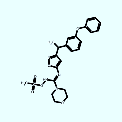 CC(c1cccc(Oc2ccccc2)c1)c1cc(N=C(NOS(C)(=O)=O)N2CCOCC2)on1